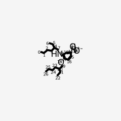 CCCCC(CC)CNc1cc([N+](=O)[O-])ccc1OCC(CC)CCCC